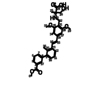 COC(=O)c1cccc(-c2cccc(C=Cc3cc(OC)c(CNC(C)(CO)C(=O)O)c(OC)c3)c2C)c1